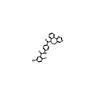 O=C(Nc1ccc(C(=O)N2CCc3cncnc3-c3ccccc32)cc1)c1cc(Cl)ccc1Cl